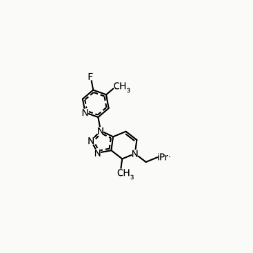 C[C](C)CN1C=Cc2c(nnn2-c2cc(C)c(F)cn2)C1C